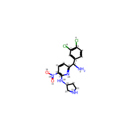 NC(c1ccc(Cl)c(Cl)c1)c1ccc([N+](=O)[O-])c(N[C@H]2CCNC2)n1